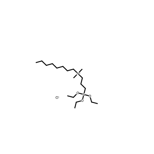 CCCCCCCC[N+](C)(C)CCC[Si](OCC)(OCC)OCC.[Cl-]